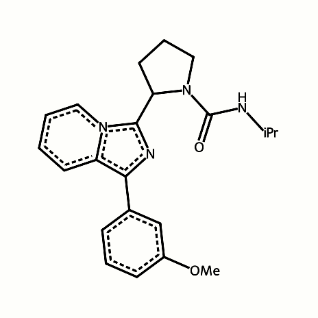 COc1cccc(-c2nc(C3CCCN3C(=O)NC(C)C)n3ccccc23)c1